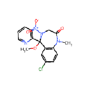 COC1(c2ccccn2)c2cc(Cl)ccc2N(C)C(=O)CN1[N+](=O)[O-]